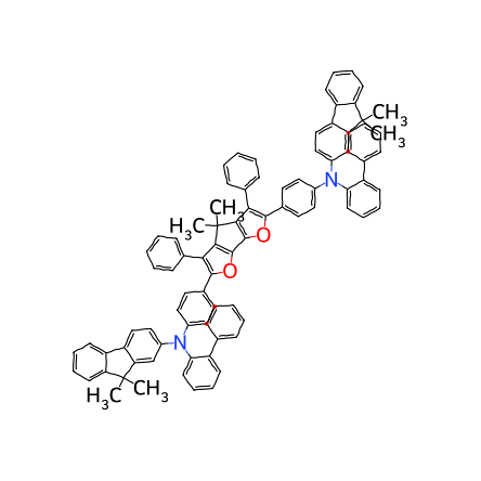 CC1(C)c2ccccc2-c2ccc(N(c3ccc(-c4oc5c(c4-c4ccccc4)C(C)(C)c4c-5oc(-c5ccc(N(c6ccc7c(c6)C(C)(C)c6ccccc6-7)c6ccccc6-c6ccccc6)cc5)c4-c4ccccc4)cc3)c3ccccc3-c3ccccc3)cc21